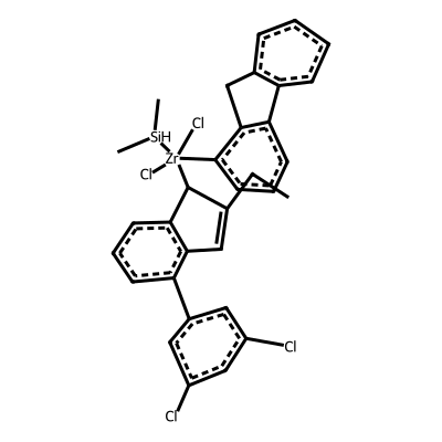 CCC1=Cc2c(-c3cc(Cl)cc(Cl)c3)cccc2[CH]1[Zr]([Cl])([Cl])([c]1cccc2c1Cc1ccccc1-2)[SiH](C)C